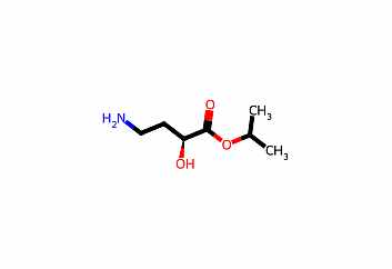 CC(C)OC(=O)[C@@H](O)CCN